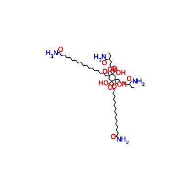 CCC(CCCCC1(C(=O)O)CC(CCCCC(CC)C(N)=O)(C(=O)O)C(CCCCCCCCCCCCCCCCCC(N)=O)(C(=O)O)CC1(CCCCCCCCCCCCCCCCCC(N)=O)C(=O)O)C(N)=O